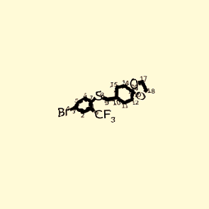 FC(F)(F)c1cc(Br)ccc1SCC1CCC2(CC1)OCCO2